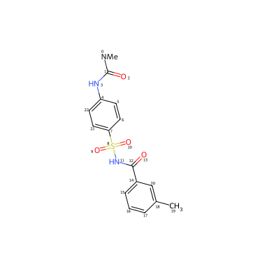 CNC(=O)Nc1ccc(S(=O)(=O)NC(=O)c2cccc(C)c2)cc1